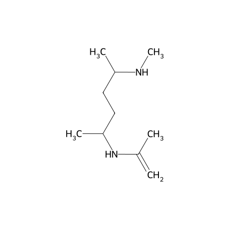 C=C(C)NC(C)CCC(C)NC